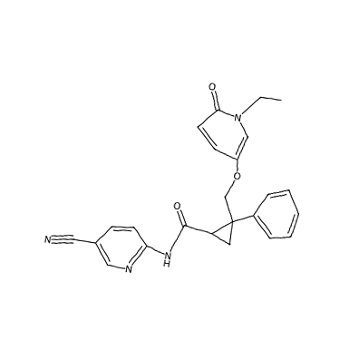 CCn1cc(OCC2(c3ccccc3)CC2C(=O)Nc2ccc(C#N)cn2)ccc1=O